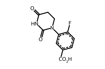 O=C1CCN(c2cc(C(=O)O)ccc2F)C(=O)N1